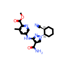 COC(=O)c1ncc(Nc2nn([C@H]3CCCC[C@@H]3C#N)cc2C(N)=O)cc1C